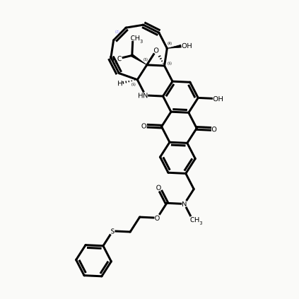 CC(C)[C@@]12O[C@]13c1cc(O)c4c(c1N[C@H]2C#C/C=C\C#C[C@H]3O)C(=O)c1ccc(CN(C)C(=O)OCCSc2ccccc2)cc1C4=O